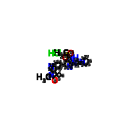 CN1C(=O)C2(CCC2)c2c1cnc1ccc(-c3cnc(N4CC(N5CCCCC5)C4)c(NS(C)(=O)=O)c3)cc21.Cl